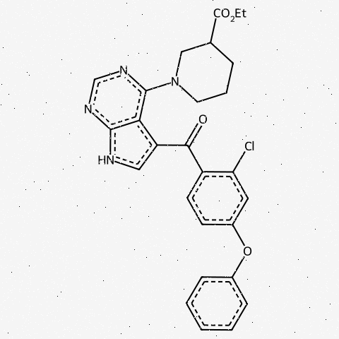 CCOC(=O)C1CCCN(c2ncnc3[nH]cc(C(=O)c4ccc(Oc5ccccc5)cc4Cl)c23)C1